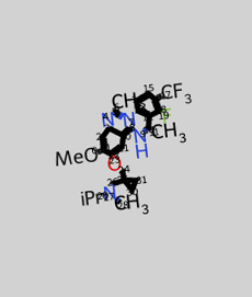 COc1cc2nc(C)nc(N[C@H](C)c3cccc(C(F)(F)F)c3F)c2cc1OCC1(CN(C)C(C)C)CC1